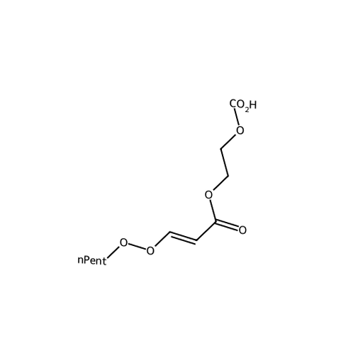 CCCCCOOC=CC(=O)OCCOC(=O)O